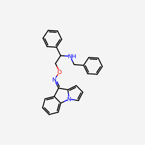 c1ccc(CNC(CO/N=C2/c3ccccc3-n3cccc32)c2ccccc2)cc1